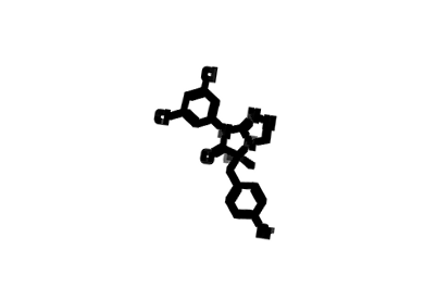 C[C@@]1(Cc2ccc(Br)cc2)C(=O)N(c2cc(Cl)cc(Cl)c2)c2nncn21